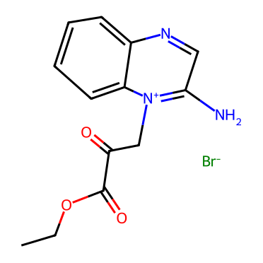 CCOC(=O)C(=O)C[n+]1c(N)cnc2ccccc21.[Br-]